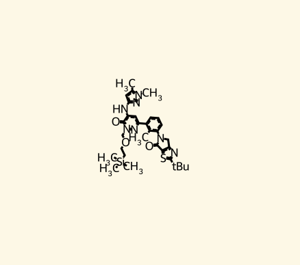 Cc1c(-c2cc(Nc3cc(C)n(C)n3)c(=O)n(COCC[Si](C)(C)C)n2)cccc1N1Cc2nc(C(C)(C)C)sc2C1=O